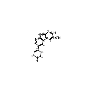 N#CC1=Cc2c([nH]c3ncc(C4=CCNCC4)cc23)CN1